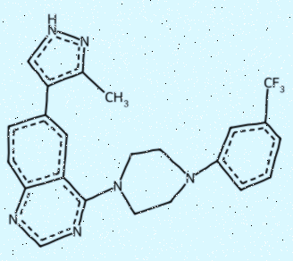 Cc1n[nH]cc1-c1ccc2ncnc(N3CCN(c4cccc(C(F)(F)F)c4)CC3)c2c1